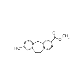 COC(=O)c1ccc2c(c1)Cc1ccc(O)cc1CC2